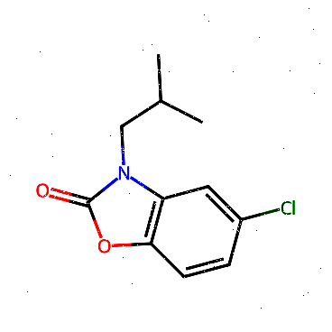 CC(C)Cn1c(=O)oc2ccc(Cl)cc21